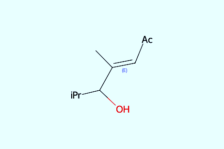 CC(=O)/C=C(\C)C(O)C(C)C